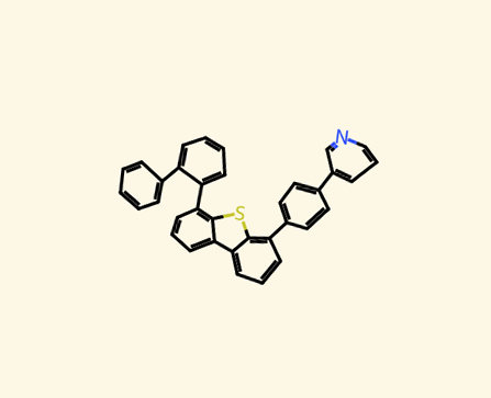 c1ccc(-c2ccccc2-c2cccc3c2sc2c(-c4ccc(-c5cccnc5)cc4)cccc23)cc1